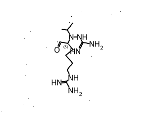 CC(C)N(NC(=N)N)[C@H]([C]=O)CCCCNC(=N)N